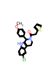 COc1ccc(C2c3[nH]c4ccc(Cl)cc4c3CCN2C(=O)Cc2cccs2)cc1